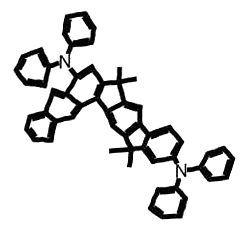 CC1(C)c2cc(N(c3ccccc3)c3ccccc3)ccc2-c2cc3c(cc21)-c1c(cc(N(c2ccccc2)c2ccccc2)c2cc4ccccc4cc12)C3(C)C